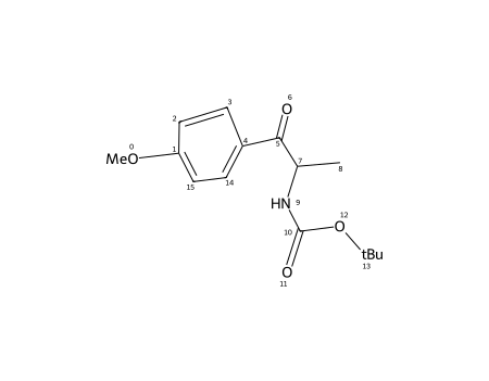 COc1ccc(C(=O)C(C)NC(=O)OC(C)(C)C)cc1